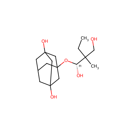 CCC(C)(CO)[C@H](O)OC12CC3CC(O)(CC(O)(C3)C1)C2